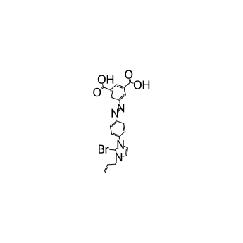 C=CCN1C=CN(c2ccc(N=Nc3cc(C(=O)O)cc(C(=O)O)c3)cc2)C1Br